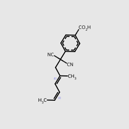 C/C=C\C=C(/C)CC(C#N)(C#N)c1ccc(C(=O)O)cc1